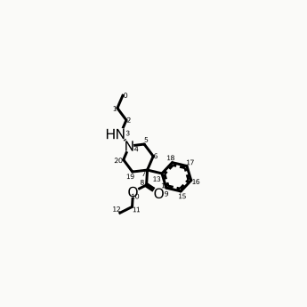 CCCNN1CCC(C(=O)OCC)(c2ccccc2)CC1